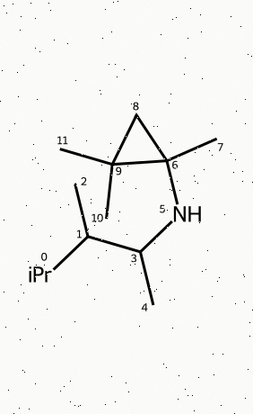 CC(C)C(C)C(C)NC1(C)CC1(C)C